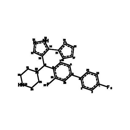 Fc1ccc(-c2ccc(C(c3cn[nH]c3-c3ccco3)N3CCNCC3)c(F)c2)cc1